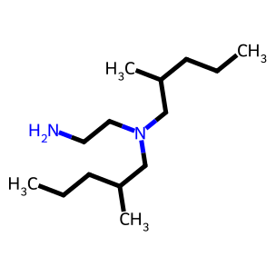 CCCC(C)CN(CCN)CC(C)CCC